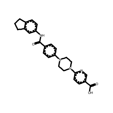 O=C(O)c1ccc(N2CCN(c3ccc(C(=O)Nc4ccc5c(c4)CCC5)cc3)CC2)nc1